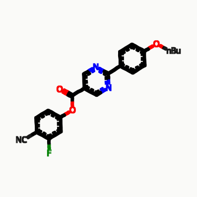 CCCCOc1ccc(-c2ncc(C(=O)Oc3ccc(C#N)c(F)c3)cn2)cc1